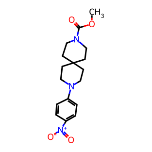 COC(=O)N1CCC2(CC1)CCN(c1ccc([N+](=O)[O-])cc1)CC2